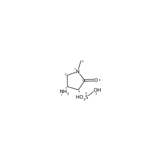 CN1CCCC1=O.N.O=S(=O)(O)O